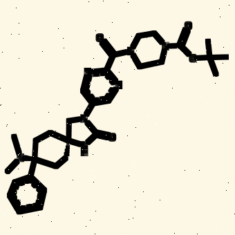 CN(C)[C@]1(c2ccccc2)CC[C@]2(CC1)CN(c1cnc(C(=O)N3CCN(C(=O)OC(C)(C)C)CC3)nc1)C(=O)N2